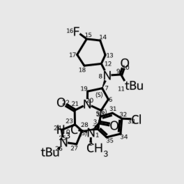 CN(C)C(=O)[C@@H]1C[C@H](N(C(=O)C(C)(C)C)C2CCC(F)CC2)CN1C(=O)C1CN(C(C)(C)C)C[C@@H]1c1ccc(Cl)cc1